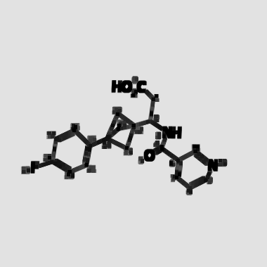 O=C(O)CC(NC(=O)c1cccnc1)C12CC(c3ccc(F)cc3)(C1)C2